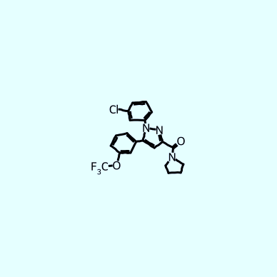 O=C(c1cc(-c2cccc(OC(F)(F)F)c2)n(-c2cccc(Cl)c2)n1)N1CCCC1